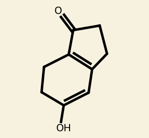 O=C1CCC2=C1CCC(O)=C2